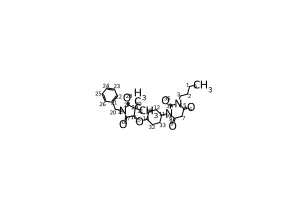 CCCCN1C(=O)CC(=O)N(C2CCC(OC3C(=O)N(Cc4ccccc4)C(=O)C3(C)C)CC2)C1=O